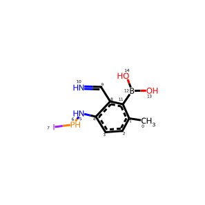 Cc1ccc(NPI)c(C=N)c1B(O)O